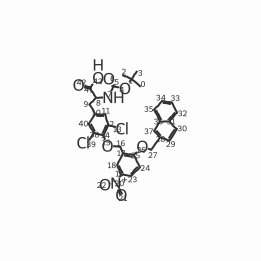 CC(C)(C)OC(=O)NC(Cc1cc(Cl)c(OCc2cc([N+](=O)[O-])ccc2OCc2ccc3ccccc3c2)c(Cl)c1)C(=O)O